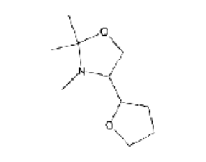 CN1C(C2CCCO2)COC1(C)C